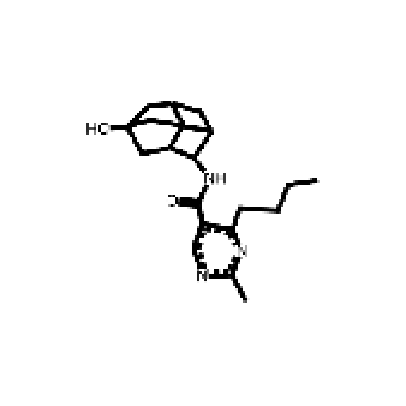 CCCCc1nc(C)ncc1C(=O)NC1C2CC3CC1CC(O)(C3)C2